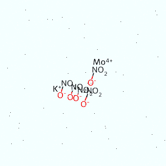 O=[N+]([O-])[O-].O=[N+]([O-])[O-].O=[N+]([O-])[O-].O=[N+]([O-])[O-].O=[N+]([O-])[O-].[K+].[Mo+4]